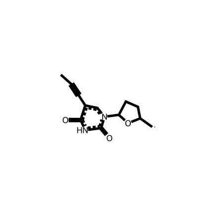 [CH2]C1CCC(n2cc(C#CC)c(=O)[nH]c2=O)O1